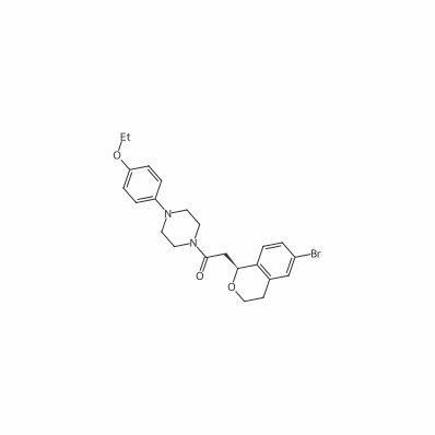 CCOc1ccc(N2CCN(C(=O)C[C@@H]3OCCc4cc(Br)ccc43)CC2)cc1